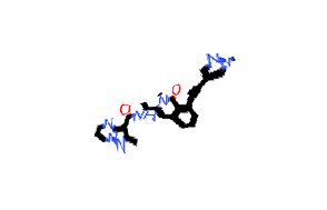 Cc1nn2cccnc2c1C(=O)NC(C)c1cc2cccc(C#Cc3cnn(C)c3)c2c(=O)n1C